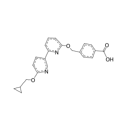 O=C(O)c1ccc(COc2cccc(-c3ccc(OCC4CC4)nc3)n2)cc1